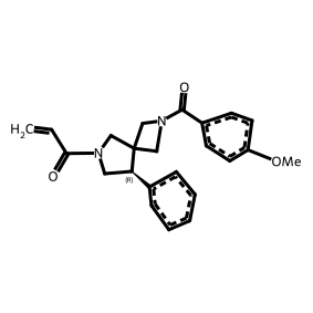 C=CC(=O)N1C[C@H](c2ccccc2)C2(C1)CN(C(=O)c1ccc(OC)cc1)C2